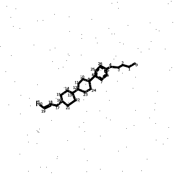 CCCCCc1ccc(C2CCC(C3CCC(CC=CF)CC3)CC2)cc1